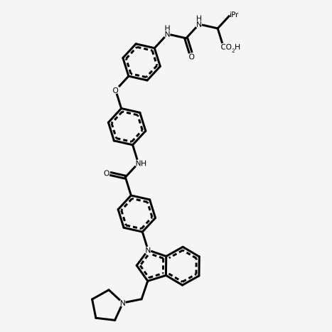 CC(C)C(NC(=O)Nc1ccc(Oc2ccc(NC(=O)c3ccc(-n4cc(CN5CCCC5)c5ccccc54)cc3)cc2)cc1)C(=O)O